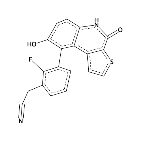 N#CCc1cccc(-c2c(O)ccc3[nH]c(=O)c4sccc4c23)c1F